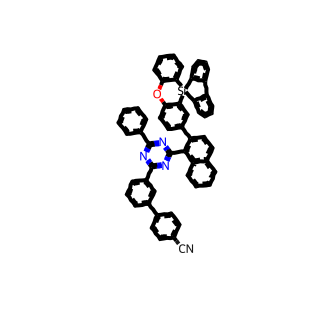 N#Cc1ccc(-c2cccc(-c3nc(-c4ccccc4)nc(-c4c(-c5ccc6c(c5)[Si]5(c7ccccc7O6)c6ccccc6-c6ccccc65)ccc5ccccc45)n3)c2)cc1